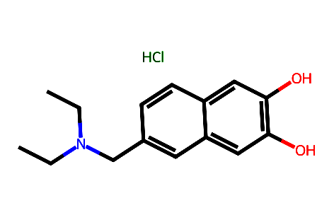 CCN(CC)Cc1ccc2cc(O)c(O)cc2c1.Cl